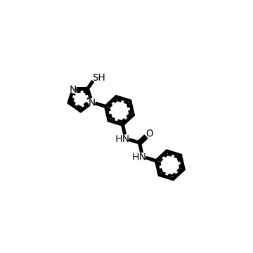 O=C(Nc1ccccc1)Nc1cccc(-n2ccnc2S)c1